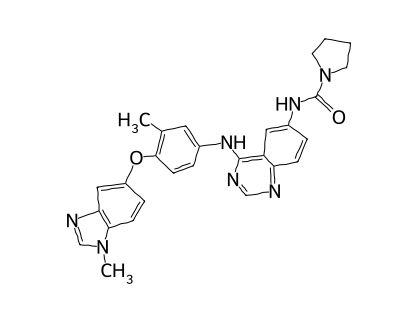 Cc1cc(Nc2ncnc3ccc(NC(=O)N4CCCC4)cc23)ccc1Oc1ccc2c(c1)ncn2C